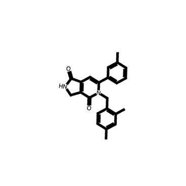 Cc1cccc(-c2cc3c(c(=O)n2Cc2ccc(C)cc2C)CNC3=O)c1